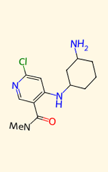 CNC(=O)c1cnc(Cl)cc1NC1CCCC(N)C1